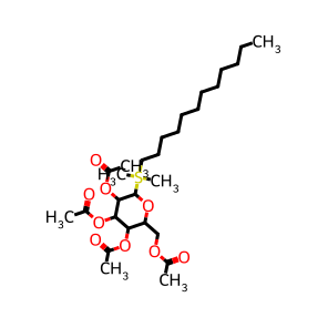 CCCCCCCCCCCCS(C)(C)C1OC(COC(C)=O)C(OC(C)=O)C(OC(C)=O)C1OC(C)=O